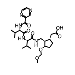 COCO[C@@H]1CC[C@H](CC(=O)O)[C@@H]1CNC(=O)[C@@H](NC(=O)[C@H](NC(=O)c1cnccn1)C(C)C)C(C)C